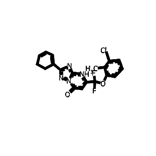 Cc1c(Cl)cccc1OC(F)(F)c1cc(=O)n2nc(C3=CC=CCC3)nc2[nH]1